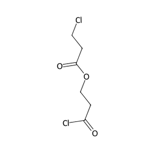 O=C(Cl)CCOC(=O)CCCl